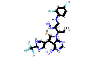 CCC(/C(=C/Nc1ccc(F)cc1F)N=N)n1c(Br)c(-c2cnc(C(F)(F)F)nc2)c2c(N)ncnc21